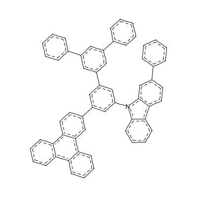 c1ccc(-c2cc(-c3ccccc3)cc(-c3cc(-c4ccc5c6ccccc6c6ccccc6c5c4)cc(-n4c5ccccc5c5ccc(-c6ccccc6)cc54)c3)c2)cc1